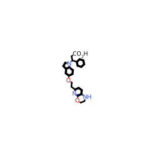 O=C(O)CC(c1ccccc1)n1ccc2cc(OCCc3ccc4c(n3)OCCN4)ccc21